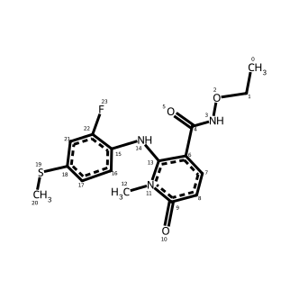 CCONC(=O)c1ccc(=O)n(C)c1Nc1ccc(SC)cc1F